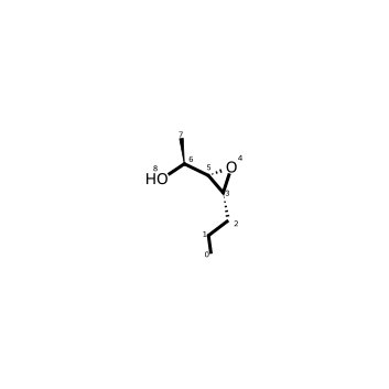 CCC[C@H]1O[C@H]1[C@H](C)O